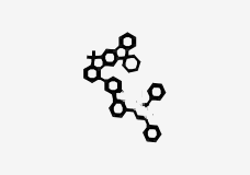 CC1(C)c2cc3c(cc2-c2c(-c4ccc5sc6c(C7C=C(c8ccccc8)N=C(c8ccccc8)N7)cccc6c5c4)cccc21)C1(CCCCC1)c1ccccc1-3